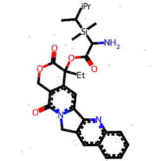 CCC1(OC(=O)C(N)[Si](C)(C)C(C)C(C)C)C(=O)OCc2c1cc1n(c2=O)Cc2cc3ccccc3nc2-1